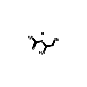 CC(C)(C)CC(N)OC(=O)C(F)(F)F.I